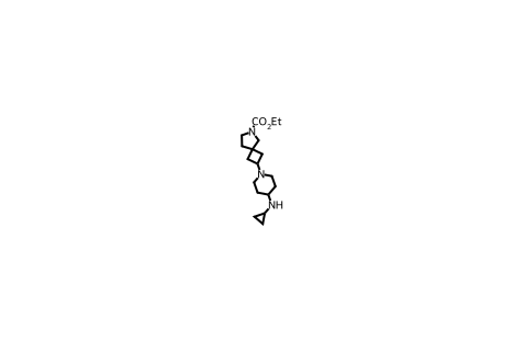 CCOC(=O)N1CCC2(CC(N3CCC(NC4CC4)CC3)C2)C1